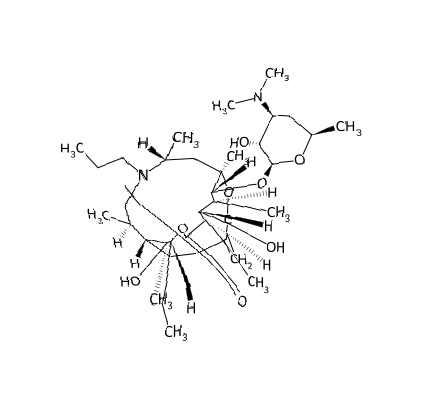 C=C1CC[C@@H]2[C@@H](C)CN(CCC)[C@H](C)C[C@@](C)(OC1)[C@H](O[C@@H]1O[C@H](C)C[C@H](N(C)C)[C@H]1O)[C@@H](C)[C@H](O)[C@@H](C)C(=O)O[C@H](CC)[C@@]2(C)O